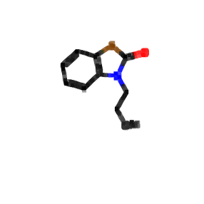 CC(=O)OCCn1c(=O)sc2ccc[c]c21